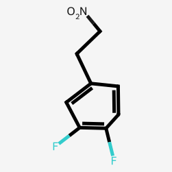 O=[N+]([O-])CCc1ccc(F)c(F)c1